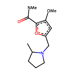 CNC(=O)c1oc(CN2CCCC2C)cc1OC